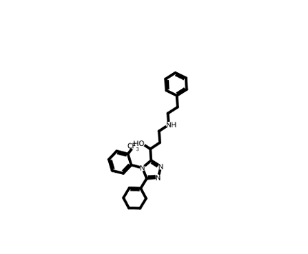 OC(CCNCCc1ccccc1)c1nnc(C2=CCCCC2)n1-c1ccccc1C(F)(F)F